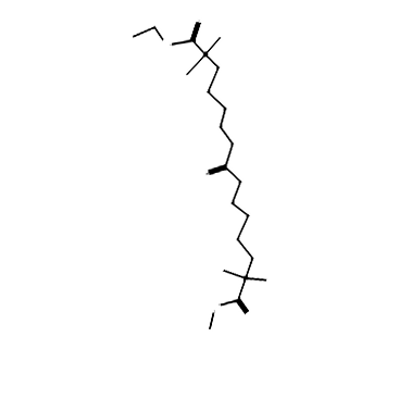 CCOC(=O)C(C)(C)CCCCCC(=O)CCCCCC(C)(C)C(=O)OC